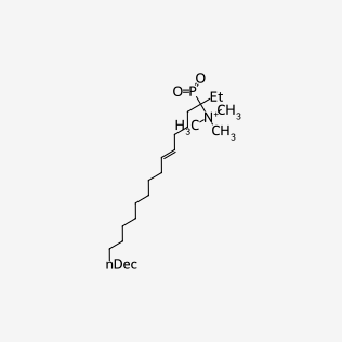 CCCCCCCCCCCCCCCCCCC=CCCCC(CC)(P(=O)=O)[N+](C)(C)C